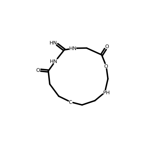 N=C1NCC(=O)OCPCCCCCC(=O)N1